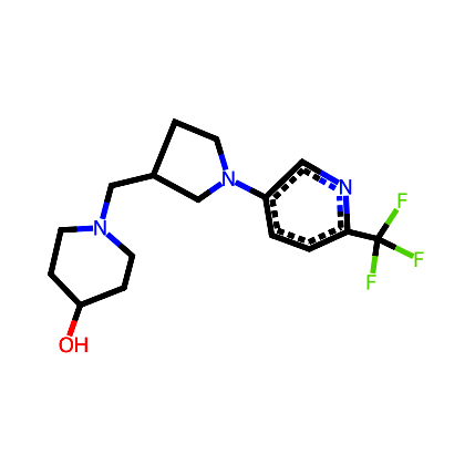 OC1CCN(CC2CCN(c3ccc(C(F)(F)F)nc3)C2)CC1